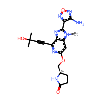 CCn1c(-c2nonc2N)nc2c(C#CC(C)(C)O)nc(OC[C@H]3CCC(=O)N3)cc21